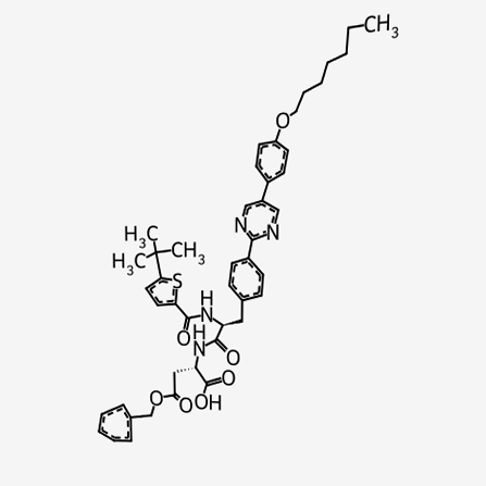 CCCCCCCOc1ccc(-c2cnc(-c3ccc(C[C@H](NC(=O)c4ccc(C(C)(C)C)s4)C(=O)N[C@@H](CC(=O)OCc4ccccc4)C(=O)O)cc3)nc2)cc1